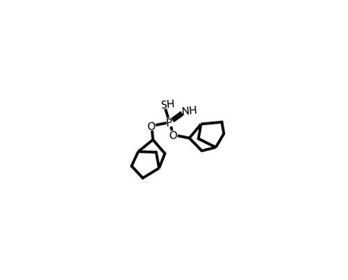 N=P(S)(OC1CC2CCC1C2)OC1CC2CCC1C2